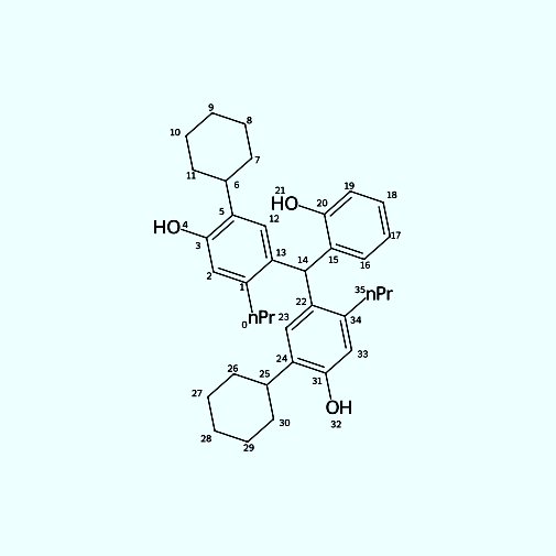 CCCc1cc(O)c(C2CCCCC2)cc1C(c1ccccc1O)c1cc(C2CCCCC2)c(O)cc1CCC